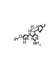 CC(C)Oc1cc(Nc2nc(N)ncc2[C@H](C)c2ccc(F)cn2)n[nH]1